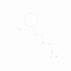 O=CC1CCCCN1CCC(=O)NC1CC1